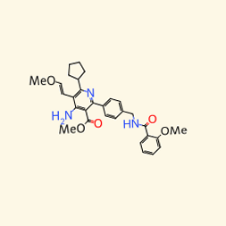 COC=Cc1c(C2CCCC2)nc(-c2ccc(CNC(=O)c3ccccc3OC)cc2)c(C(=O)OC)c1N